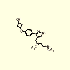 CNCCN(C)Cc1c[nH]nc1-c1ccc(OC2CC(O)C2)cc1